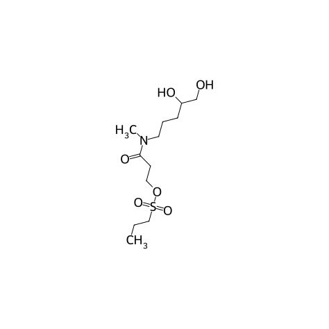 CCCS(=O)(=O)OCCC(=O)N(C)CCCC(O)CO